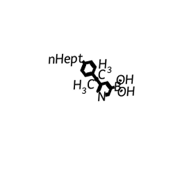 CCCCCCCc1ccc(C(C)(C)c2cncc(B(O)O)c2)cc1